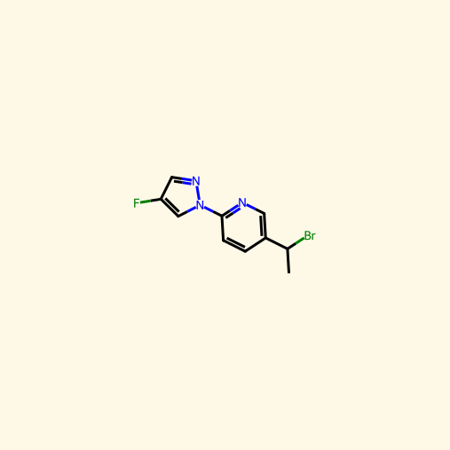 CC(Br)c1ccc(-n2cc(F)cn2)nc1